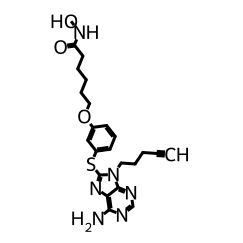 C#CCCCn1c(Sc2cccc(OCCCCCC(=O)NO)c2)nc2c(N)ncnc21